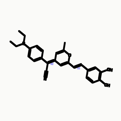 CCN(CC)c1ccc(/C(C#N)=C2\C=C(C)OC(/C=C/c3ccc(O)c(O)c3)=C2)cc1